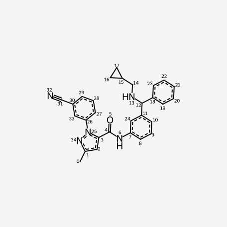 Cc1cc(C(=O)Nc2cccc(C(NCC3CC3)c3ccccc3)c2)n(-c2cccc(C#N)c2)n1